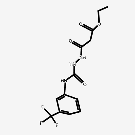 CCOC(=O)CC(=O)NNC(=O)Nc1cccc(C(F)(F)F)c1